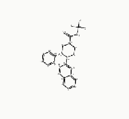 CC(C)(C)OC(=O)N1CCN(c2ncc3ccccc3n2)[C@H](c2ccccn2)C1